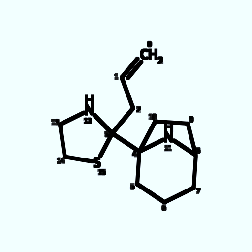 C=CCC1(C23CCCC(CC2)N3)NCCS1